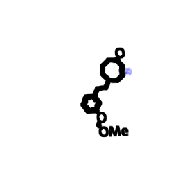 COCOc1cccc(CCC2C/C=C\C(=O)CCC2)c1